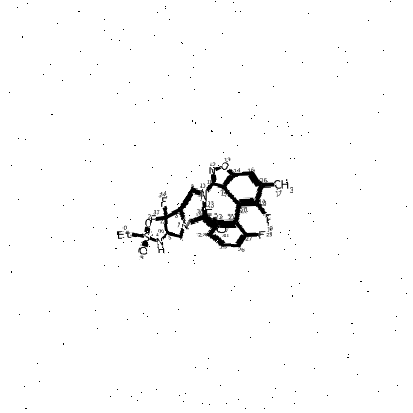 CCS(=O)(=O)N[C@@H]1Cn2c(cn(-c3noc4cc(C)c(F)c(-c5c(F)cccc5F)c34)c2=O)C1(F)F